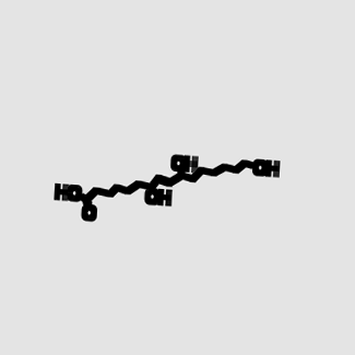 O=C(O)CCCCCC(O)/C=C/C(O)CCCCCCO